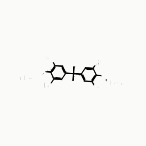 CCCCCOc1c(Br)cc(C(C)(C)c2cc(Br)c(OCCCCC)c(Br)c2)cc1Br